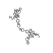 Cn1c(-c2ccc(N3CCC(CN4CCC(c5ccc(Nc6nc(N7CCCC8(COC8)C7)cnc6C(N)=O)cc5)CC4)CC3)cc2)nn(C2CCC(=O)NC2=O)c1=O